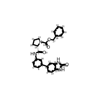 O=C(Nc1cccc(-c2ccc3[nH]c(=O)[nH]c3c2)c1)[C@@H]1CCCN1C(=O)OCc1ccccc1